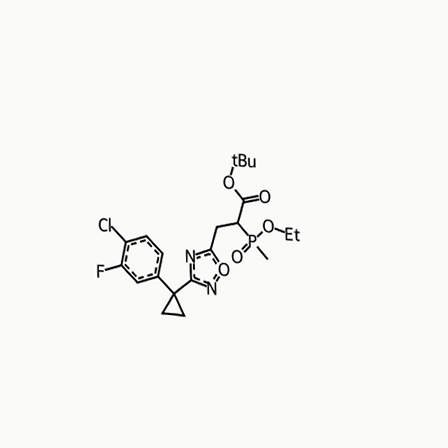 CCOP(C)(=O)C(Cc1nc(C2(c3ccc(Cl)c(F)c3)CC2)no1)C(=O)OC(C)(C)C